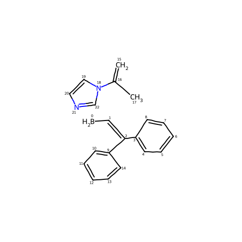 BC=C(c1ccccc1)c1ccccc1.C=C(C)n1ccnc1